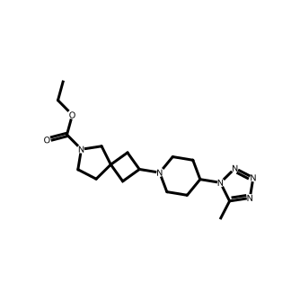 CCOC(=O)N1CCC2(CC(N3CCC(n4nnnc4C)CC3)C2)C1